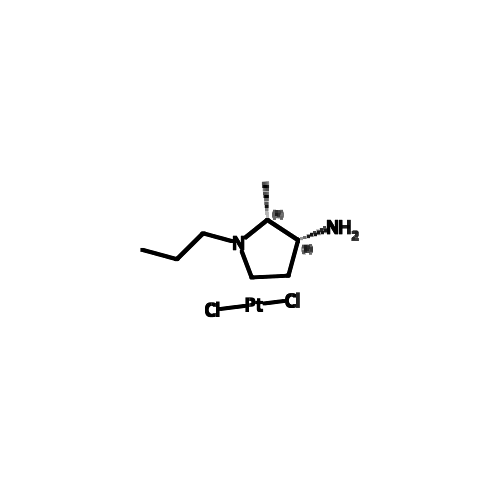 CCCN1CC[C@@H](N)[C@H]1C.[Cl][Pt][Cl]